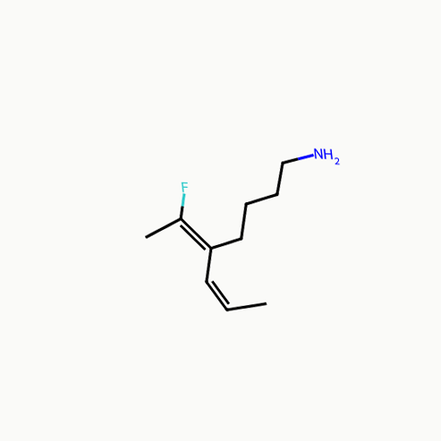 C/C=C\C(CCCCN)=C(/C)F